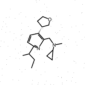 CCC(C)c1ccc([C@@H]2CCOC2)c(CN(C)C2CC2)n1